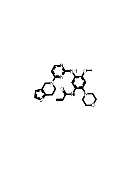 C=CC(=O)Nc1cc(Nc2nccc(N3CCc4sccc4C3)n2)c(OC)cc1N1CCOCC1